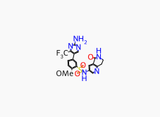 COc1ccc(-c2cnc(N)nc2C(F)(F)F)cc1S(=O)(=O)Nc1cnc2c(c1)C(=O)NCC2